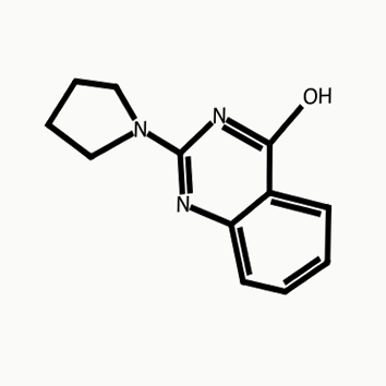 Oc1nc(N2CCCC2)nc2ccccc12